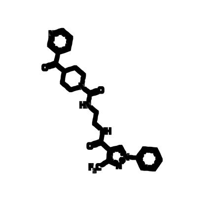 O=C(NCCNC(=O)N1CCC(C(=O)c2cccnc2)CC1)c1cn(-c2ccccc2)nc1C(F)(F)F